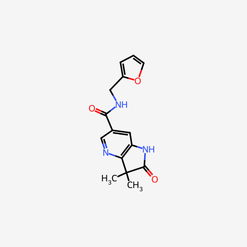 CC1(C)C(=O)Nc2cc(C(=O)NCc3ccco3)cnc21